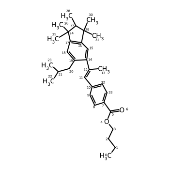 CCCCOC(=O)c1ccc(C=C(C)c2cc3c(cc2CC(C)C)C(C)(C)C(C)C3(C)C)cc1